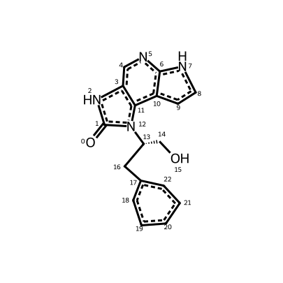 O=c1[nH]c2cnc3[nH]ccc3c2n1[C@H](CO)Cc1ccccc1